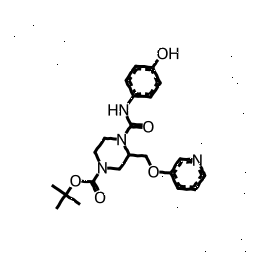 CC(C)(C)OC(=O)N1CCN(C(=O)Nc2ccc(O)cc2)C(COc2cccnc2)C1